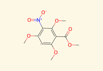 COC(=O)c1c(OC)[c]c(OC)c([N+](=O)[O-])c1OC